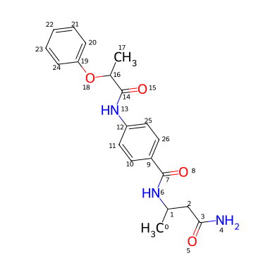 CC(CC(N)=O)NC(=O)c1ccc(NC(=O)C(C)Oc2ccccc2)cc1